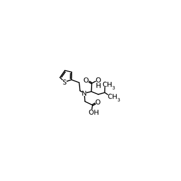 CC(C)CC(C(=O)O)N(CCc1cccs1)CC(=O)O